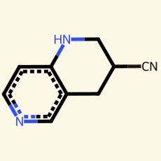 N#CC1CNc2ccncc2C1